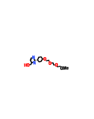 COCCOCCOCCO[C@H]1CC[C@H](c2nccc(CO)n2)CC1